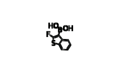 OB(O)c1c(F)sc2ccccc12